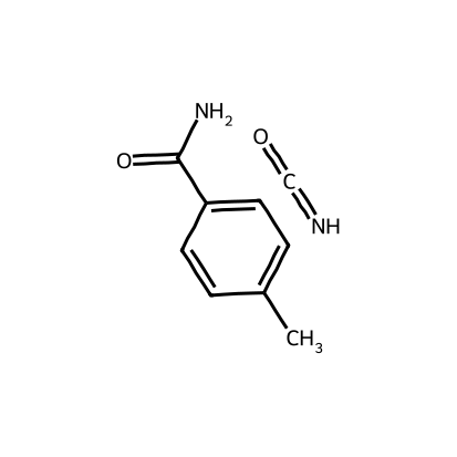 Cc1ccc(C(N)=O)cc1.N=C=O